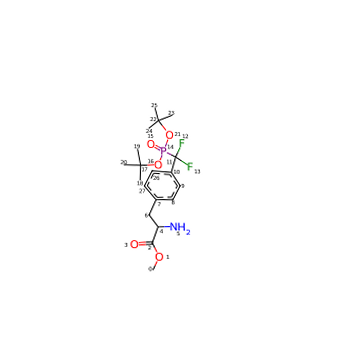 COC(=O)C(N)Cc1ccc(C(F)(F)P(=O)(OC(C)(C)C)OC(C)(C)C)cc1